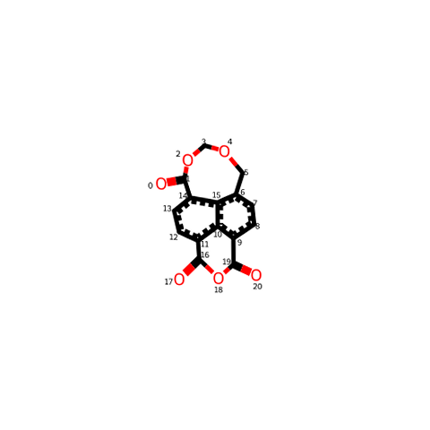 O=C1OCOCc2ccc3c4c(ccc1c24)C(=O)OC3=O